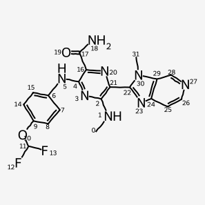 CNc1nc(Nc2ccc(OC(F)F)cc2)c(C(N)=O)nc1-c1nc2ccncc2n1C